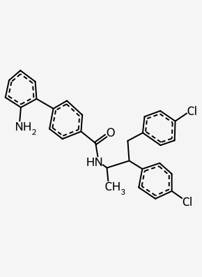 CC(NC(=O)c1ccc(-c2ccccc2N)cc1)C(Cc1ccc(Cl)cc1)c1ccc(Cl)cc1